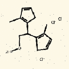 CC1=C(C(C[O][Zr+3])C2=C(C)C=CC2)CC=C1.[Cl-].[Cl-].[Cl-]